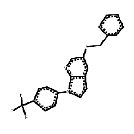 FC(F)(F)c1ccc(-n2ccc3cc(SCc4ccccc4)cnc32)cc1